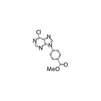 COC(=O)c1ccc(-n2cnc3c(Cl)ncnc32)cc1